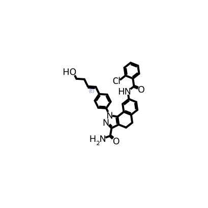 NC(=O)c1nn(-c2ccc(/C=C/CCO)cc2)c2c1CCc1ccc(NC(=O)c3ccccc3Cl)cc1-2